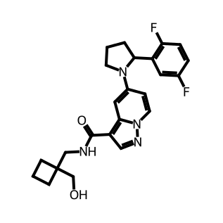 O=C(NCC1(CO)CCC1)c1cnn2ccc(N3CCCC3c3cc(F)ccc3F)cc12